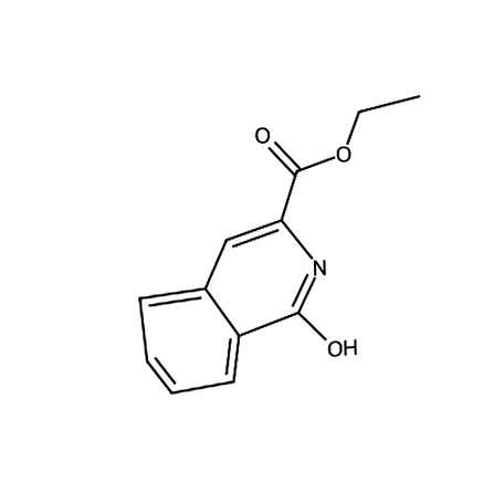 CCOC(=O)c1cc2ccccc2c(O)n1